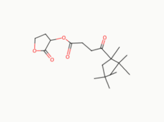 CC(C)(C)CC(C)(C(=O)CCC(=O)OC1CCOC1=O)C(C)(C)C